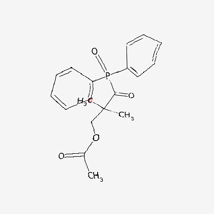 CC(=O)OCC(C)(C)C(=O)P(=O)(c1ccccc1)c1ccccc1